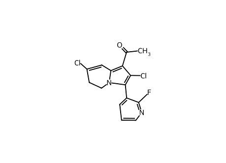 CC(=O)c1c(Cl)c(-c2cccnc2F)n2c1C=C(Cl)CC2